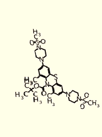 Cc1cc(N2CCN(S(C)(=O)=O)CC2)cc2c1N(C(=O)OC(C)(C)C)c1c(C)cc(N3CCN(S(C)(=O)=O)CC3)cc1S2